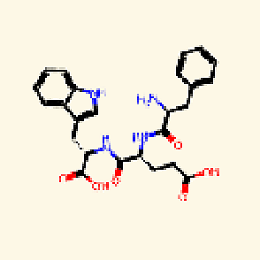 N[C@@H](Cc1ccccc1)C(=O)N[C@@H](CCC(=O)O)C(=O)N[C@@H](Cc1c[nH]c2ccccc12)C(=O)O